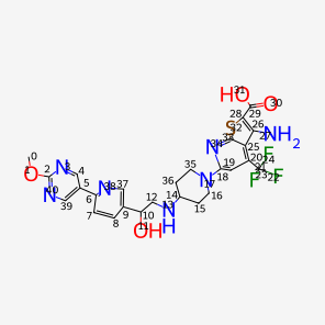 COc1ncc(-c2ccc(C(O)CNC3CCN(c4cc(C(F)(F)F)c5c(N)c(C(=O)O)sc5n4)CC3)cn2)cn1